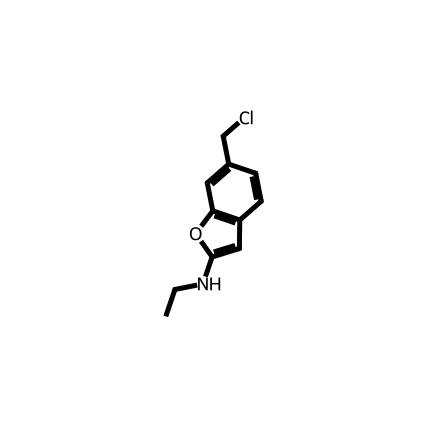 CCNc1cc2ccc(CCl)cc2o1